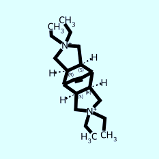 CC[N+]1(CC)C[C@@H]2C3C=CC([C@H]4C[N+](CC)(CC)C[C@@H]34)[C@@H]2C1